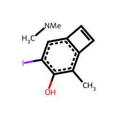 CNC.Cc1c(O)c(I)cc2c1C=C2